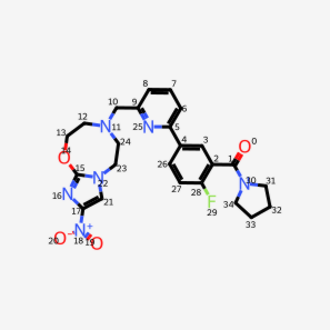 O=C(c1cc(-c2cccc(CN3CCOc4nc([N+](=O)[O-])cn4CC3)n2)ccc1F)N1CCCC1